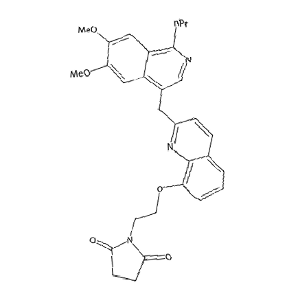 CCCc1ncc(Cc2ccc3cccc(OCCN4C(=O)CCC4=O)c3n2)c2cc(OC)c(OC)cc12